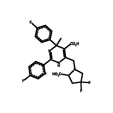 CC1(c2ccc(F)cc2)N=C(c2ccc(F)cn2)NC(CN2CC(F)(F)CC2C(=O)O)=C1C(=O)O